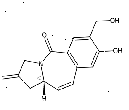 C=C1C[C@H]2C=Cc3cc(O)c(CO)cc3C(=O)N2C1